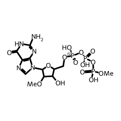 COC1C(O)C(CO[P@](=O)(O)OP(=O)(O)OP(=O)(O)OC)OC1n1cnc2c(=O)[nH]c(N)nc21